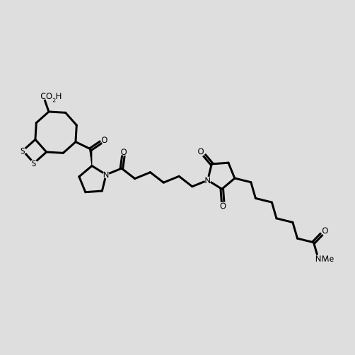 CNC(=O)CCCCCCC1CC(=O)N(CCCCCC(=O)N2CCC[C@H]2C(=O)C2CCC(C(=O)O)CC3SSC3C2)C1=O